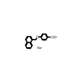 O=C([O-])c1ccc(OCc2cccc3ccccc23)cc1.[Na+]